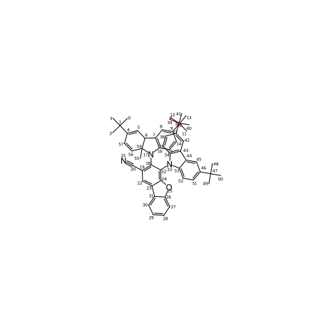 CC(C)(C)C1=CC2c3cc(C(C)(C)C)ccc3N(c3c(C#N)cc4c(oc5ccccc54)c3-n3c4ccc(C(C)(C)C)cc4c4cc(C(C)(C)C)ccc43)C2(C)C=C1